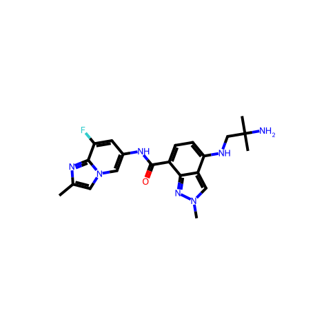 Cc1cn2cc(NC(=O)c3ccc(NCC(C)(C)N)c4cn(C)nc34)cc(F)c2n1